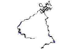 CCCCC/C=C\C/C=C\CCCCCCCCNC(=O)C(CN(C)C)NC(=O)CCCCCCC/C=C\C/C=C\CCCCC